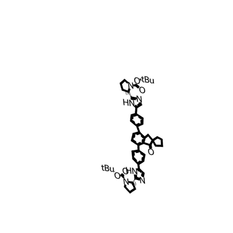 CC(C)(C)OC(=O)N1CCC[C@H]1c1ncc(-c2ccc(-c3ccc(-c4ccc(-c5cnc([C@@H]6CCCN6C(=O)OC(C)(C)C)[nH]5)cc4)c4c3CC3(CCCC3)C4=O)cc2)[nH]1